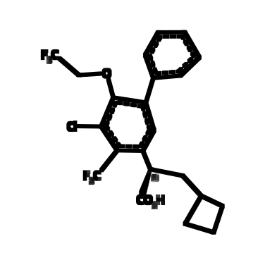 O=C(O)[C@H](CC1CCC1)c1cc(-c2ccccc2)c(OCC(F)(F)F)c(Cl)c1C(F)(F)F